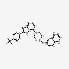 CC(C)(C)c1ccc(-c2nc3cccc(N4CCN(Cc5ccc6nccnc6c5)CC4)c3s2)cc1